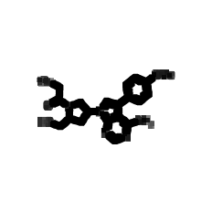 COc1ccc(-c2cn(C3CC(CO)N(C(=O)CC(C)(C)C)C3)c3ncnc(N)c23)cc1